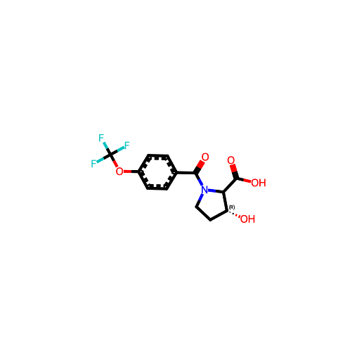 O=C(O)C1[C@H](O)CCN1C(=O)c1ccc(OC(F)(F)F)cc1